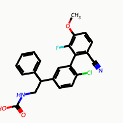 COc1ccc(C#N)c(-c2cc(C(CNC(=O)O)c3ccccc3)ccc2Cl)c1F